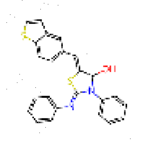 OC1/C(=C/c2ccc3sccc3c2)S/C(=N\c2ccccc2)N1c1ccccc1